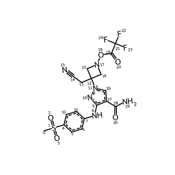 CS(=O)(=O)c1ccc(Nc2nn(C3(CC#N)CN(OC(=O)C(F)(F)F)C3)cc2C(N)=O)cc1